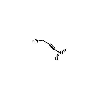 CCCCC#C[SH](=O)=O